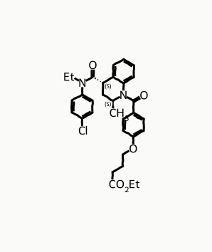 CCOC(=O)CCCOc1ccc(C(=O)N2c3ccccc3[C@@H](C(=O)N(CC)c3ccc(Cl)cc3)C[C@@H]2C)cc1